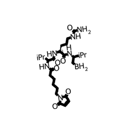 BCC(NC(=O)[C@H](CCCNC(N)=O)NC(=O)C(NC(=O)CCCCCN1C(=O)C=CC1=O)C(C)C)C(C)C